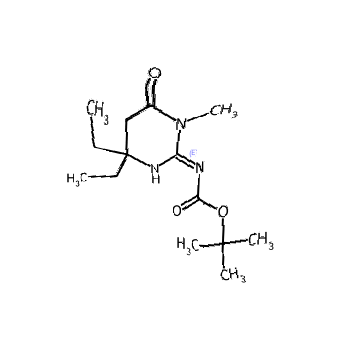 CCC1(CC)CC(=O)N(C)/C(=N/C(=O)OC(C)(C)C)N1